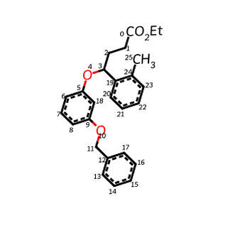 CCOC(=O)CCC(Oc1cccc(OCc2ccccc2)c1)c1ccccc1C